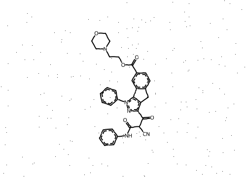 N#CC(C(=O)Nc1ccccc1)C(=O)c1nn(-c2ccccc2)c2c1Cc1ccc(C(=O)OCCN3CCOCC3)cc1-2